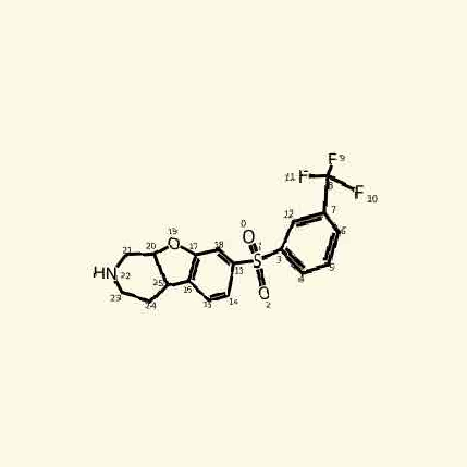 O=S(=O)(c1cccc(C(F)(F)F)c1)c1ccc2c(c1)OC1CNCCC21